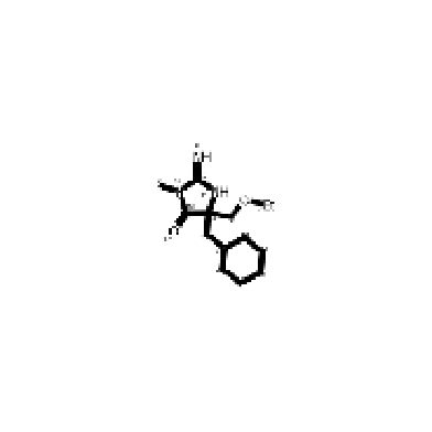 CCOCC1(CC2CCCCC2)NC(=N)N(C)C1=O